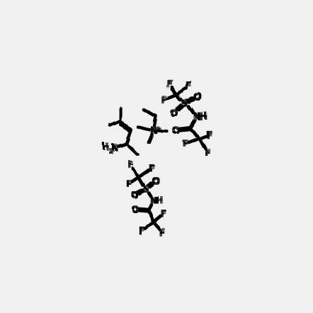 CC(C)=CC(C)N.CC[N+](C)(C)C.O=C(NS(=O)(=O)C(F)(F)F)C(F)(F)F.O=C(NS(=O)(=O)C(F)(F)F)C(F)(F)F